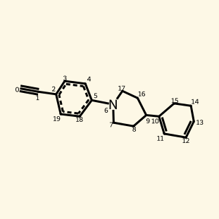 C#Cc1ccc(N2CCC(C3=CC=CCC3)CC2)cc1